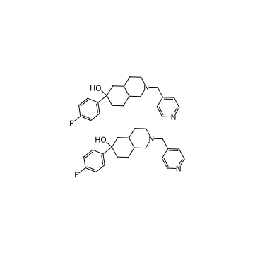 OC1(c2ccc(F)cc2)CCC2CN(Cc3ccncc3)CCC2C1.OC1(c2ccc(F)cc2)CCC2CN(Cc3ccncc3)CCC2C1